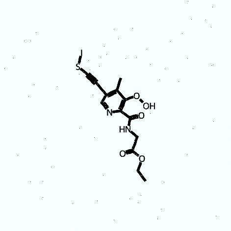 CCOC(=O)CNC(=O)c1ncc(C#CSI)c(C)c1OO